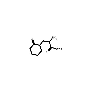 COC(=O)C(CC1CCCCC1=O)[N+](=O)[O-]